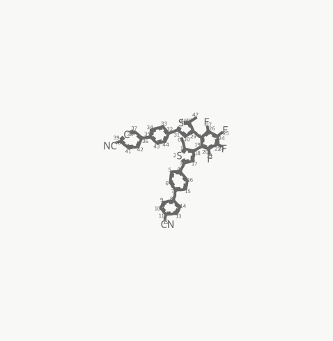 Cc1sc(-c2ccc(-c3ccc(C#N)cc3)cc2)cc1-c1c(F)c(F)c(F)c(F)c1-c1cc(-c2ccc(-c3ccc(C#N)cc3)cc2)sc1C